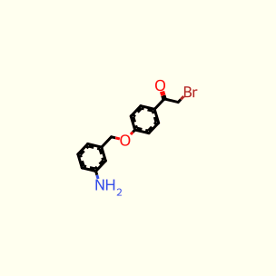 Nc1cccc(COc2ccc(C(=O)CBr)cc2)c1